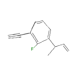 C#Cc1cccc([C](C)C=C)c1F